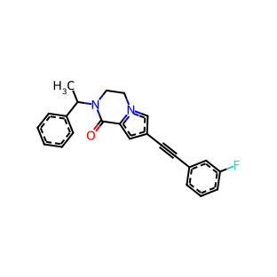 CC(c1ccccc1)N1CCn2cc(C#Cc3cccc(F)c3)cc2C1=O